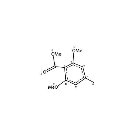 COC(=O)c1c(OC)cc(C)cc1OC